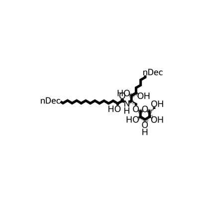 CCCCCCCCCCCCCCCCCCCCCCC(O)C(=O)N[C@H](CO[C@H]1O[C@H](CO)[C@H](O)[C@H](O)[C@H]1O)[C@H](O)[C@H](O)CCCCCCCCCCCCCC